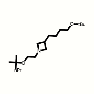 CCCC(C)(C)OCCN1CC(CCCCOC(C)(C)C)C1